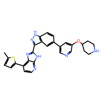 Cc1ccc(-c2ccnc3[nH]c(-c4n[nH]c5ccc(-c6cncc(OC7CCNCC7)c6)cc45)nc23)s1